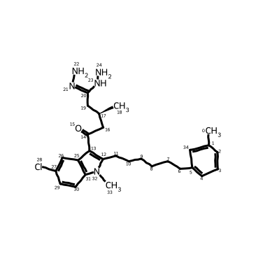 Cc1cccc(CCCCCCc2c(C(=O)C[C@H](C)C/C(=N/N)NN)c3cc(Cl)ccc3n2C)c1